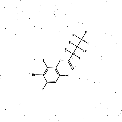 O=C(Oc1c(I)cc(I)c(Br)c1I)C(F)(F)C(F)(Br)C(F)(F)Br